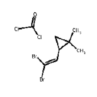 CC1(C)CC1C=C(Br)Br.O=C(Cl)Cl